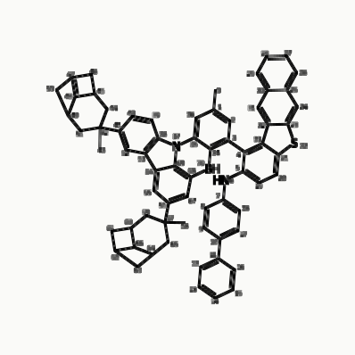 Cc1cc(-c2c(Nc3ccc(-c4ccccc4)cc3)ccc3sc4cc5ccccc5cc4c23)c2c(c1)-n1c3ccc(C4(C)CC5CC6=C5C(C6)C4)cc3c3cc(C4(C)CC5CC6CC(C4)C65)cc(c31)B2